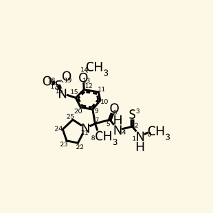 CNC(=S)NC(=O)C(C)(c1ccc(OC)c(N=S(=O)=O)c1)N1CCCC1